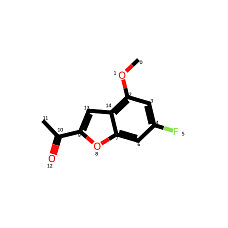 COc1cc(F)cc2oc(C(C)=O)cc12